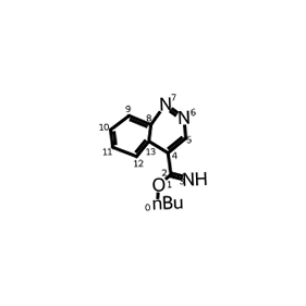 CCCCOC(=N)c1cnnc2ccccc12